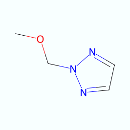 COCn1nccn1